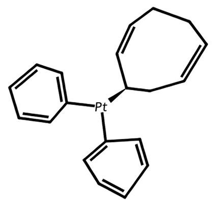 C1=CC[C@@H]([Pt]([c]2ccccc2)[c]2ccccc2)C=CCC1